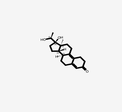 C[C@H](O)[C@@]1(O)CC[C@H]2[C@@H]3CCC4=CC(=O)CCC4=C3CC[C@@]21C